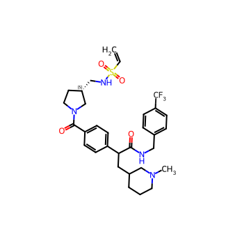 C=CS(=O)(=O)NC[C@H]1CCN(C(=O)c2ccc(C(CC3CCCN(C)C3)C(=O)NCc3ccc(C(F)(F)F)cc3)cc2)C1